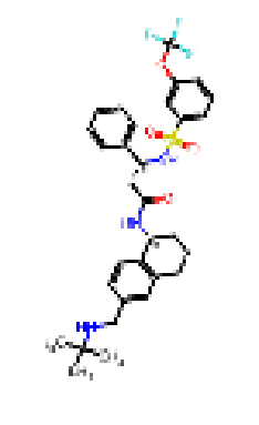 CC(C)(C)NCc1ccc2c(c1)CCC[C@H]2NC(=O)C[C@@H](NS(=O)(=O)c1cccc(OC(F)(F)F)c1)c1ccccc1